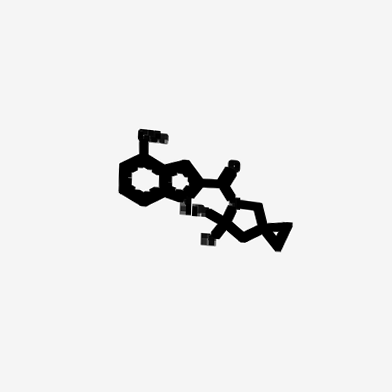 CCC1(C(C)C)CC2(CC2)CN1C(=O)c1cc2c(OC)cccc2[nH]1